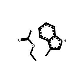 CCOC(C)=O.Cc1c[nH]c2ccccc12